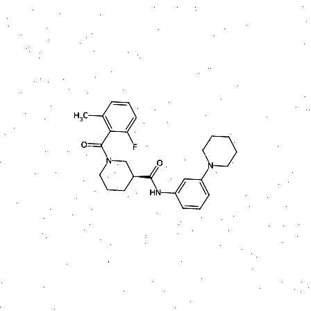 Cc1cccc(F)c1C(=O)N1CCC[C@H](C(=O)Nc2cccc(N3CCCCC3)c2)C1